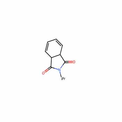 CC(C)N1C(=O)C2C=CC=CC2C1=O